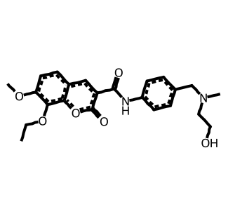 CCOc1c(OC)ccc2cc(C(=O)Nc3ccc(CN(C)CCO)cc3)c(=O)oc12